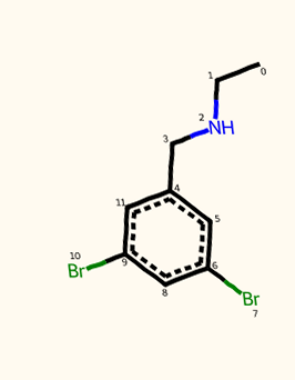 CCNCc1cc(Br)cc(Br)c1